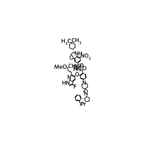 CO[C@H](C)CCc1nc2[nH]cc(F)c2cc1Oc1cc(N2CCC3(CC2)CN([C@@H]2CCC[C@@H]2c2ccccc2C(C)C)C3)ccc1C(=O)NS(=O)(=O)c1cc2c(c([N+](=O)[O-])c1)N[C@@H](C1CCC(C)(C)CC1)CO2